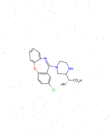 CCC[C@@H](C(=O)O)C1CN(C2=Nc3ccccc3Oc3ccc(Cl)cc32)CCN1